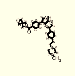 CN1CCN(CCc2ccc(-c3cnc4[nH]cc(-c5ccc(C(=O)N6CC7(COC7)C6)cc5)c4n3)cc2)CC1